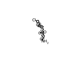 NC(=O)CN1CCN(N2C(=O)SC(=Cc3ccc4c(cnn4Cc4ccc(Cl)cc4C(F)(F)F)c3)C2=O)CC1